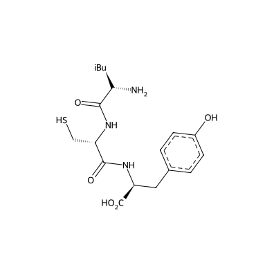 CC[C@H](C)[C@H](N)C(=O)N[C@@H](CS)C(=O)N[C@@H](Cc1ccc(O)cc1)C(=O)O